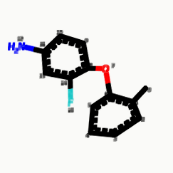 Cc1ccccc1Oc1ccc(N)cc1F